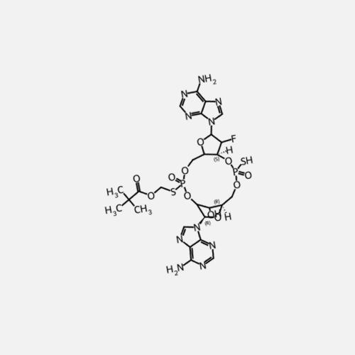 CC(C)(C)C(=O)OCSP1(=O)OCC2OC(n3cnc4c(N)ncnc43)C(F)[C@H]2OP(=O)(S)OC[C@H]2O[C@@H](n3cnc4c(N)ncnc43)C(O1)C2O